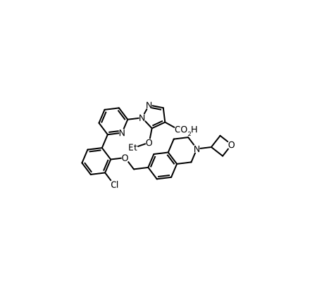 CCOc1c(C(=O)O)cnn1-c1cccc(-c2cccc(Cl)c2OCc2ccc3c(c2)CCN(C2COC2)C3)n1